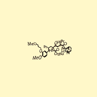 COCCCOc1cc(CC(C[C@H](NC(=O)OC(C)(C)C)[C@@H](O)C[C@H](C(=O)NC2CN3CCC2CC3)C(C)C)C(C)C)ccc1OC